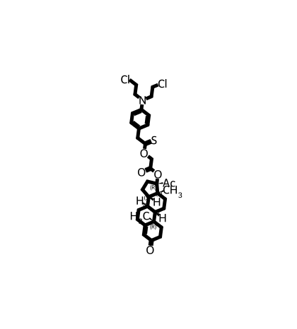 CC(=O)[C@@]1(OC(=O)COC(=S)Cc2ccc(N(CCCl)CCCl)cc2)CC[C@H]2[C@@H]3CCC4=CC(=O)CC[C@]4(C)[C@H]3CC[C@@]21C